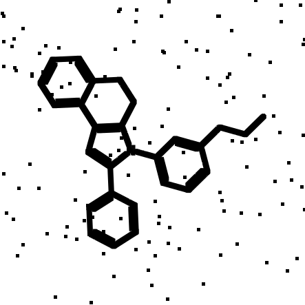 CCCc1cccc(-n2c(-c3ccccc3)cc3c2CCc2ccccc2-3)c1